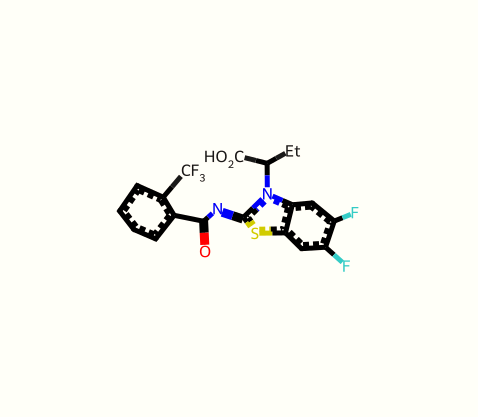 CCC(C(=O)O)n1c(=NC(=O)c2ccccc2C(F)(F)F)sc2cc(F)c(F)cc21